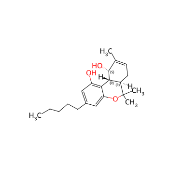 CCCCCc1cc(O)c2c(c1)OC(C)(C)[C@@H]1CC=C(C)[C@@H](O)[C@@H]21